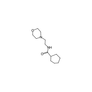 O=C(NCCN1CCOCC1)C1CCCCC1